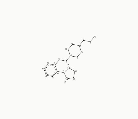 CCCC1CCC(CCc2ccccc2C2OCCO2)CC1